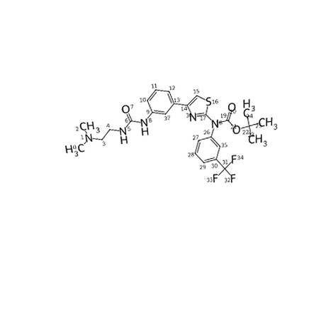 CN(C)CCNC(=O)Nc1cccc(-c2csc(N(C(=O)OC(C)(C)C)c3cccc(C(F)(F)F)c3)n2)c1